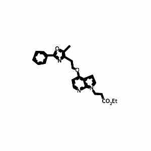 CCOC(=O)CCn1ccc2c(OCCc3nc(-c4ccccc4)oc3C)ccnc21